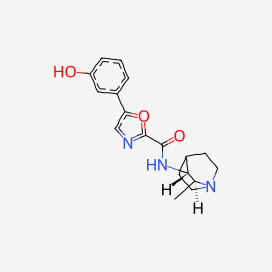 C[C@H]1[C@H](NC(=O)c2ncc(-c3cccc(O)c3)o2)C2CCN1CC2